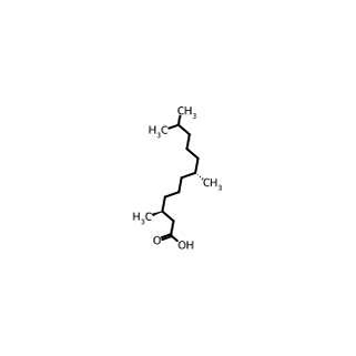 CC(C)CCC[C@H](C)CCC[C@H](C)CC(=O)O